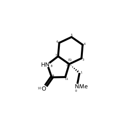 CNC[C@@]12CCCCC1NC(=O)C2